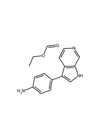 CCOC=O.Nc1ccc(-c2c[nH]c3cnccc23)cc1